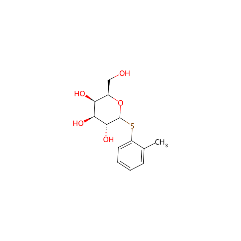 Cc1ccccc1SC1O[C@H](CO)[C@H](O)[C@H](O)[C@H]1O